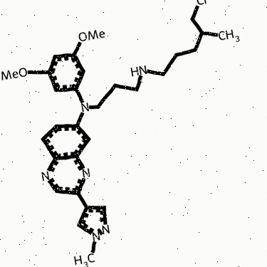 COc1cc(OC)cc(N(CCCNCCCC(C)CCl)c2ccc3ncc(-c4cnn(C)c4)nc3c2)c1